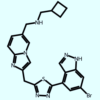 Brc1cc(-c2nnc(Cc3cn4cc(CNCC5CCC5)ccc4n3)s2)c2cn[nH]c2c1